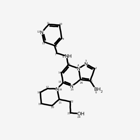 Bc1cnn2c(NCc3cccnc3)cc(N3CCCCC3CCO)nc12